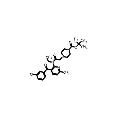 CCN(C(=O)CN1CCN(C(=O)OC(C)(C)C)CC1)c1nc(C)ccc1C(=O)c1cccc(Cl)c1